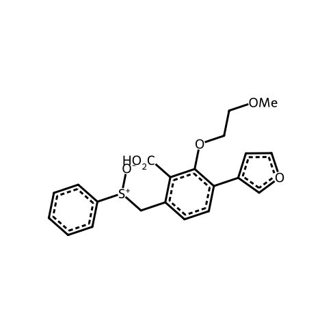 COCCOc1c(-c2ccoc2)ccc(C[S+]([O-])c2ccccc2)c1C(=O)O